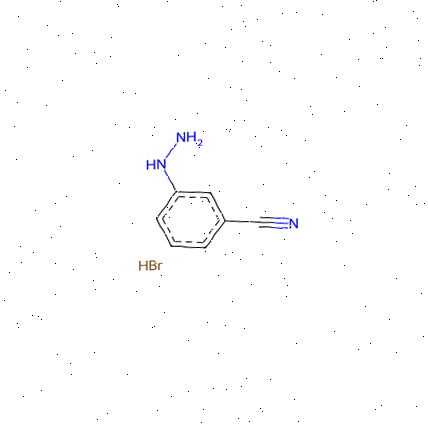 Br.N#Cc1cccc(NN)c1